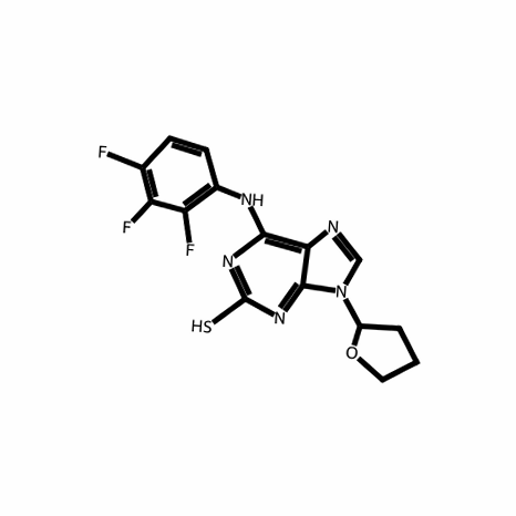 Fc1ccc(Nc2nc(S)nc3c2ncn3C2CCCO2)c(F)c1F